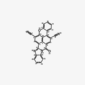 N#Cc1cc2c3c(cc(C#N)c4c5ccccc5oc1c43)c(=O)n1c3ccccc3nc21